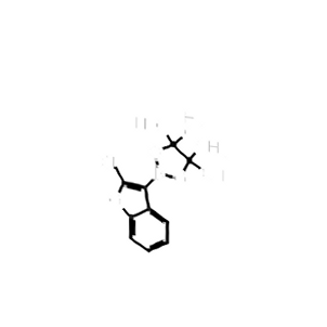 CC1(C)OB(c2c(Cl)oc3ccccc23)OC1(C)C